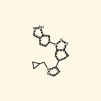 c1cc(-c2ccc3nnn(-c4ccc5cn[nH]c5c4)c3c2)n(CC2CC2)n1